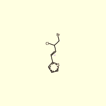 ClC(/C=C/c1cccs1)CBr